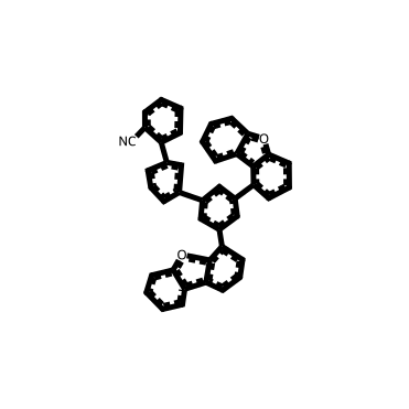 N#Cc1ccccc1-c1cccc(-c2cc(-c3cccc4c3oc3ccccc34)cc(-c3cccc4oc5ccccc5c34)c2)c1